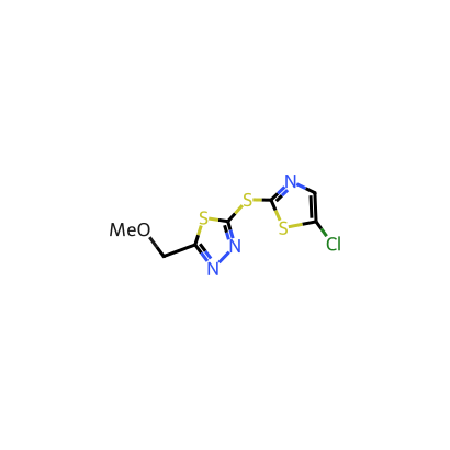 COCc1nnc(Sc2ncc(Cl)s2)s1